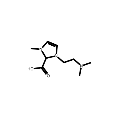 CN(C)CCN1C=CN(C)C1C(=O)O